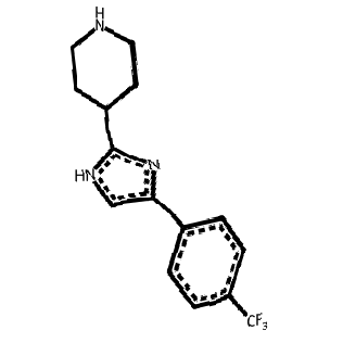 FC(F)(F)c1ccc(-c2c[nH]c(C3CCNCC3)n2)cc1